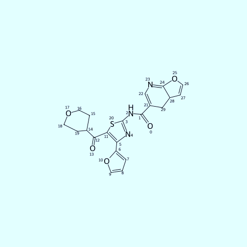 O=C(Nc1nc(-c2ccco2)c(C(=O)C2CCOCC2)s1)C1=CN=C2OC=CC2C1